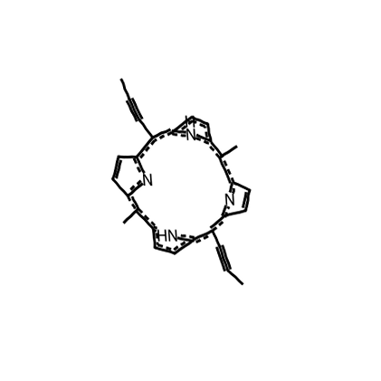 CC#Cc1c2nc(c(C)c3ccc([nH]3)c(C#CC)c3nc(c(C)c4ccc1[nH]4)C=C3)C=C2